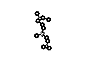 c1ccc(-c2ccc3c(c2)c2c(-c4ccc5ccc(-c6nc(-c7ccccc7)nc(-c7ccc8ccc(-n9c%10ccccc%10c%10ccccc%109)cc8c7)n6)cc5c4)cccc2n3-c2ccccc2)cc1